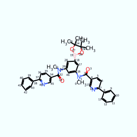 CN(C(=O)c1ccc(-c2ccccc2)nc1)c1cc(B2OC(C)(C)C(C)(C)O2)cc(N(C)C(=O)c2ccc(-c3ccccc3)nc2)c1